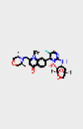 CC(C)n1c(CN2[C@@H](C)COC[C@@H]2C)cc(=O)c2ccc(-c3nc(N[C@@H]4C[C@H]5CO[C@H](O5)[C@H]4O)ncc3F)cc21